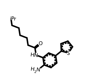 CC(C)CCCCCC(=O)Nc1cc(-c2cccs2)ccc1N